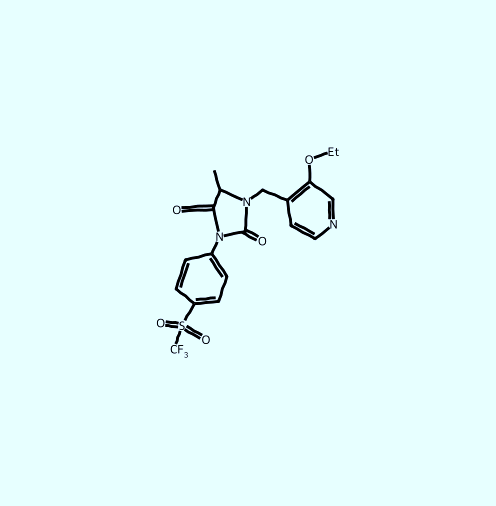 CCOc1cnccc1CN1C(=O)N(c2ccc(S(=O)(=O)C(F)(F)F)cc2)C(=O)C1C